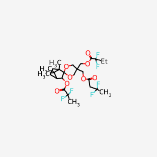 CCC(F)(F)C(=O)OCC1(COC(=O)CC(C)(F)F)COC2(OC1)C(OC(=O)C(C)(F)F)C1CCC2(C)C1(C)C